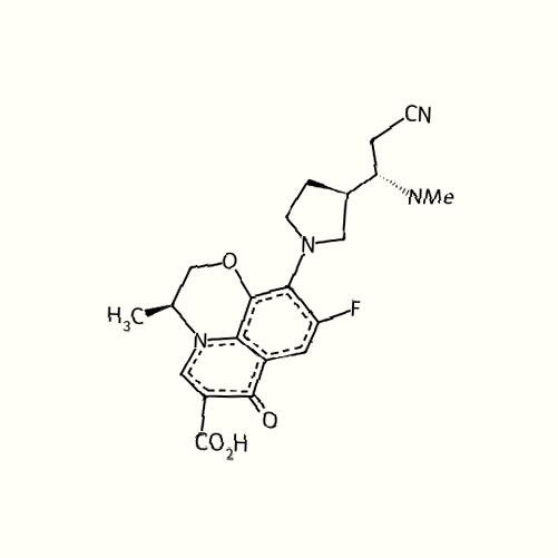 CN[C@@H](CC#N)[C@@H]1CCN(c2c(F)cc3c(=O)c(C(=O)O)cn4c3c2OC[C@@H]4C)C1